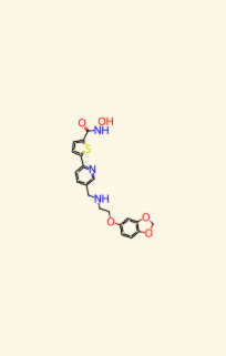 O=C(NO)c1ccc(-c2ccc(CNCCOc3ccc4c(c3)OCO4)cn2)s1